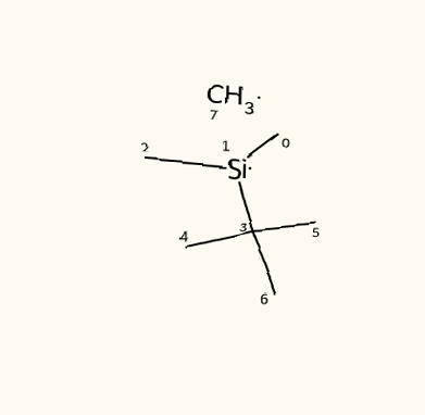 C[Si](C)C(C)(C)C.[CH3]